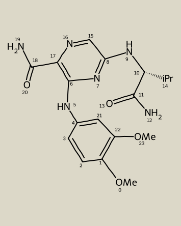 COc1ccc(Nc2nc(N[C@@H](C(N)=O)C(C)C)cnc2C(N)=O)cc1OC